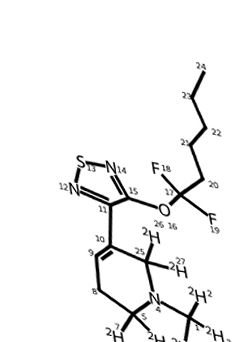 [2H]C([2H])([2H])N1C([2H])([2H])CC=C(c2nsnc2OC(F)(F)CCCCC)C1([2H])[2H]